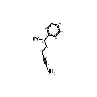 CC(C)C(CCC#CN)c1ccccc1